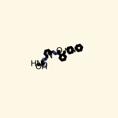 O=C(/C=C/c1cccc(/C=C/C(=O)c2ccccc2CN2CCN(c3ccccc3)CC2)n1)NO